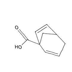 O=C(O)C12C=CCC(C=C1)C2